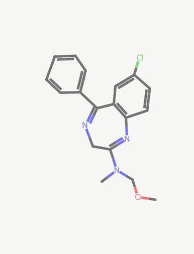 COCN(C)C1=Nc2ccc(Cl)cc2C(c2ccccc2)=NC1